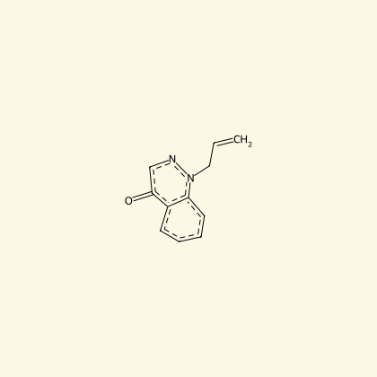 C=CCn1ncc(=O)c2ccccc21